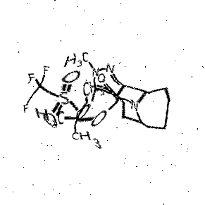 Cn1nc2c(c1OS(=O)(=O)C(F)(F)F)CC1CCCC2N1C(=O)OC(C)(C)C